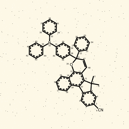 CC1(C)c2cc(C#N)ccc2-c2c1c1c(c3ccccc23)OC(c2ccccc2)(c2ccc(N(c3ccccc3)c3ccccc3)cc2)C=C1